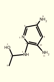 C[C](O)Nc1ncc(N)cc1N